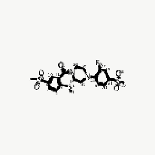 CSc1ccc(S(C)(=O)=O)cc1C(=O)N1CCN(c2ccc(S(C)(=O)=O)cc2F)CC1